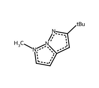 Cn1ccc2cc(C(C)(C)C)nn21